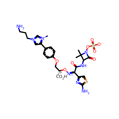 C[n+]1cn(CCCN)cc1-c1ccc(OC[C@H](O/N=C(\C(=O)NC2C(=O)N(OS(=O)(=O)[O-])C2(C)C)c2csc(N)n2)C(=O)O)cc1